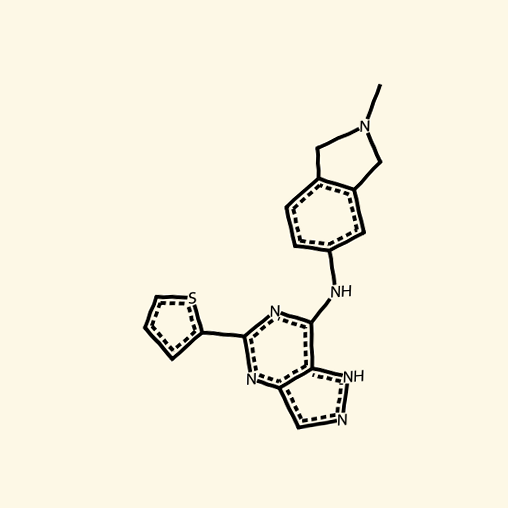 CN1Cc2ccc(Nc3nc(-c4cccs4)nc4cn[nH]c34)cc2C1